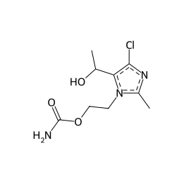 Cc1nc(Cl)c(C(C)O)n1CCOC(N)=O